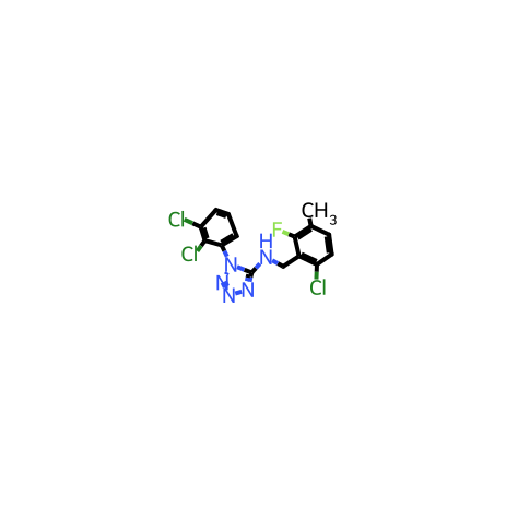 Cc1ccc(Cl)c(CNc2nnnn2-c2cccc(Cl)c2Cl)c1F